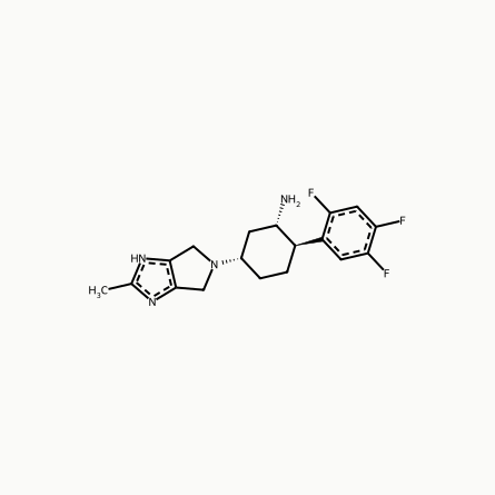 Cc1nc2c([nH]1)CN([C@H]1CC[C@H](c3cc(F)c(F)cc3F)[C@@H](N)C1)C2